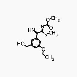 CCOc1cc(CO)cc(C(=N)C(=NC(=O)OC)SC)c1